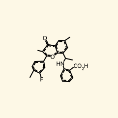 Cc1cc(C(C)Nc2ccccc2C(=O)O)c2oc(-c3ccc(C)c(F)c3)c(C)c(=O)c2c1